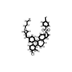 Cc1ccc(S(=O)(=O)n2ccc3c4c(ccc32)C(c2ccc(C=C3CN(CCCF)C3)cc2)=C(c2cccc(Cl)c2C)CCC4)cc1